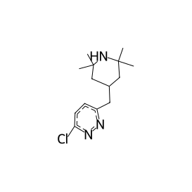 CC1(C)CC(Cc2ccc(Cl)nn2)CC(C)(C)N1